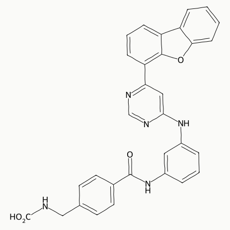 O=C(O)NCc1ccc(C(=O)Nc2cccc(Nc3cc(-c4cccc5c4oc4ccccc45)ncn3)c2)cc1